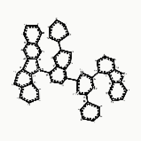 c1ccc(-c2ccc3c(-c4nc(-c5ccccc5)nc(-c5cccc6sc7ccccc7c56)n4)ccc(-n4c5cc6ccccc6cc5c5ccc6ccccc6c54)c3c2)cc1